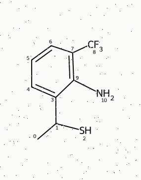 CC(S)c1cccc(C(F)(F)F)c1N